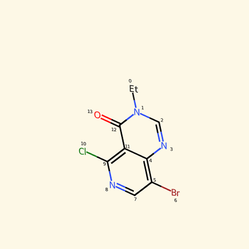 CCn1cnc2c(Br)cnc(Cl)c2c1=O